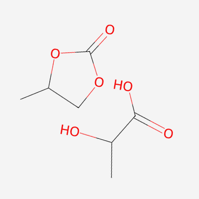 CC(O)C(=O)O.CC1COC(=O)O1